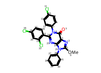 COc1nc2c(=O)n(-c3ccc(Cl)cc3)c(-c3ccc(Cl)cc3Cl)nc2n1-c1ccccc1